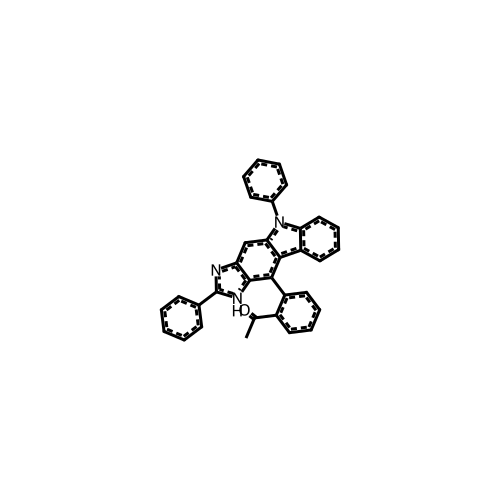 CC(=O)c1ccccc1-c1c2[nH]c(-c3ccccc3)nc2cc2c1c1ccccc1n2-c1ccccc1